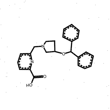 O=C(O)c1cccc(CN2CCC(OC(c3ccccc3)c3ccccc3)C2)n1